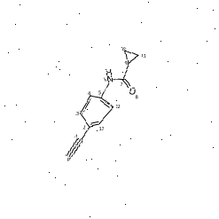 C#Cc1ccc(NC(=O)C2CC2)cc1